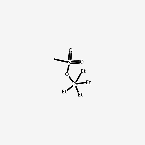 CCP(CC)(CC)(CC)OS(C)(=O)=O